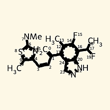 C=C(/C=C\c1nc(NC)sc1C)c1c(C)c(F)c(C(C)F)c2[nH]ncc12